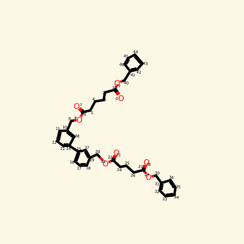 O=C(CCCCC(=O)OCc1cccc(-c2cccc(COC(=O)CCCC(=O)OCc3ccccc3)c2)c1)OCc1ccccc1